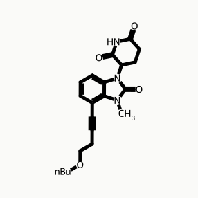 [CH2]CCCOCCC#Cc1cccc2c1n(C)c(=O)n2C1CCC(=O)NC1=O